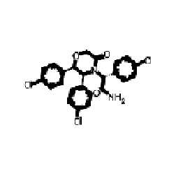 NC(=O)[C@@H](c1ccc(Cl)cc1)N1C(=O)CO[C@H](c2ccc(Cl)cc2)[C@@H]1c1ccc(Cl)cc1